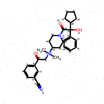 C[N+](C)(CC(=O)c1cccc(C#N)c1)C1CCN(C(=O)C(O)(c2ccccc2)C2CCCC2)CC1